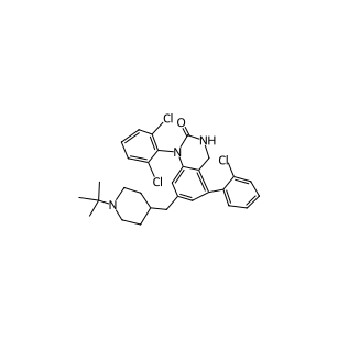 CC(C)(C)N1CCC(Cc2cc(-c3ccccc3Cl)c3c(c2)N(c2c(Cl)cccc2Cl)C(=O)NC3)CC1